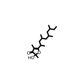 CCC(C)CC(C)CC(C)CC(C)C1=C(C)C(=O)C(C)(O)O1